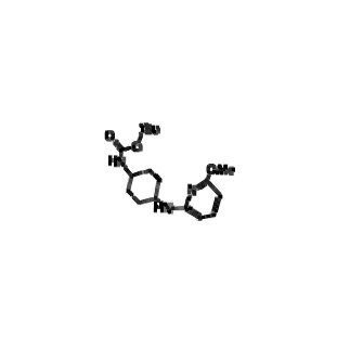 COc1cccc(NC2CCC(NC(=O)OC(C)(C)C)CC2)n1